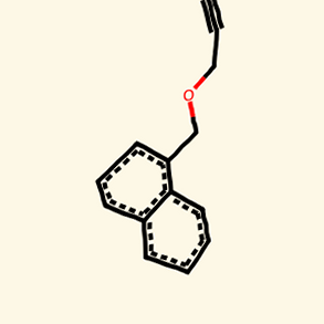 C#CCOCc1cccc2ccccc12